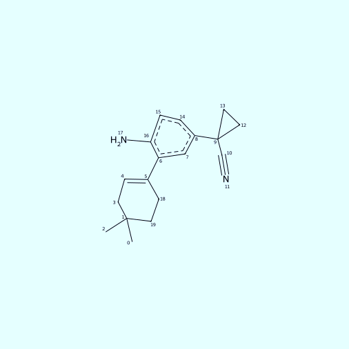 CC1(C)CC=C(c2cc(C3(C#N)CC3)ccc2N)CC1